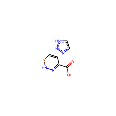 O=C(O)C1=NNSC=C1.c1c[nH]nn1